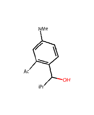 CNc1ccc(C(O)C(C)C)c(C(C)=O)c1